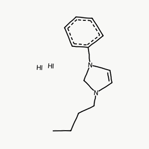 CCCCN1C=CN(c2ccccc2)C1.I.I